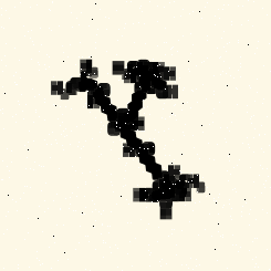 COCC(C)CNC(=O)CCCCCNC(=O)C(CCCCNC(=O)CCCCCOC1OC(CO)C(O)C(O)C1NC(C)=O)NC(=O)CCCCCOC1OC(CO)C(O)C(O)C1NC(C)=O